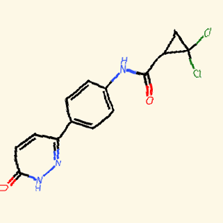 O=C(Nc1ccc(-c2ccc(=O)[nH]n2)cc1)C1CC1(Cl)Cl